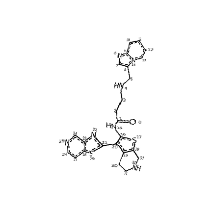 O=C(CCNCc1cnc2ccccn12)Nc1sc2c(c1-c1nc3cnccc3s1)CCNC2